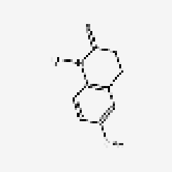 COc1ccc2c(c1)CCC(=S)N2C